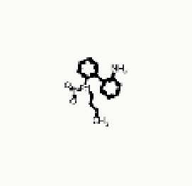 CCC[CH2][Pd+]([c]1ccccc1-c1ccccc1N)[P](=O)=O